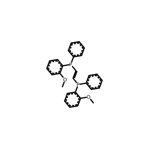 COc1ccccc1P(C=CP(c1ccccc1)c1ccccc1OC)c1ccccc1